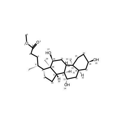 COC(=O)CC[C@@H](C)[C@H]1CC[C@H]2[C@@H]3[C@@H](O)C[C@@H]4C[C@H](O)CC[C@]4(C)[C@H]3C[C@H](O)[C@]12C